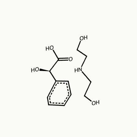 O=C(O)[C@H](O)c1ccccc1.OCCNCCO